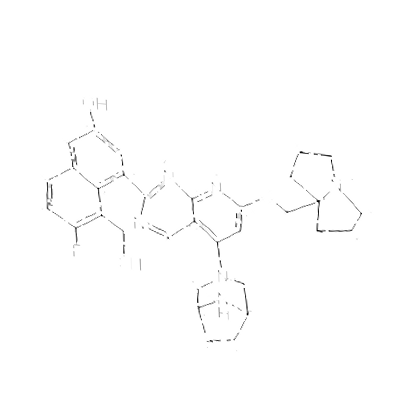 CCc1c(F)ccc2cc(O)cc(-c3ncc4c(N5CC6CCC(C5)N6)cc(OCC56CCCN5CCC6)nc4n3)c12